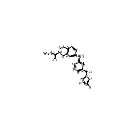 CNC(=O)N1CCc2ccc(Nc3cncc(Nc4cc(C)[nH]n4)n3)cc2C1